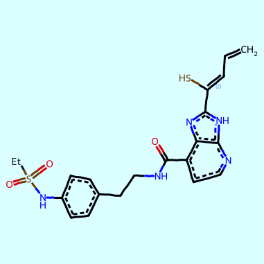 C=C/C=C(\S)c1nc2c(C(=O)NCCc3ccc(NS(=O)(=O)CC)cc3)ccnc2[nH]1